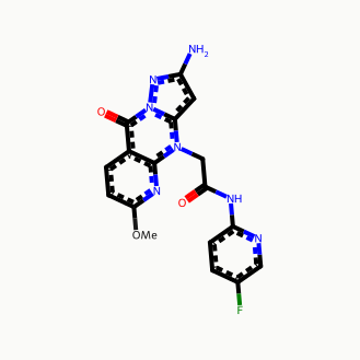 COc1ccc2c(=O)n3nc(N)cc3n(CC(=O)Nc3ccc(F)cn3)c2n1